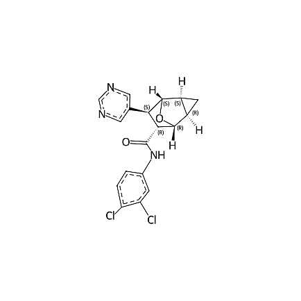 O=C(Nc1ccc(Cl)c(Cl)c1)[C@H]1[C@@H]2O[C@@H]([C@H]3C[C@H]32)[C@@H]1c1cncnc1